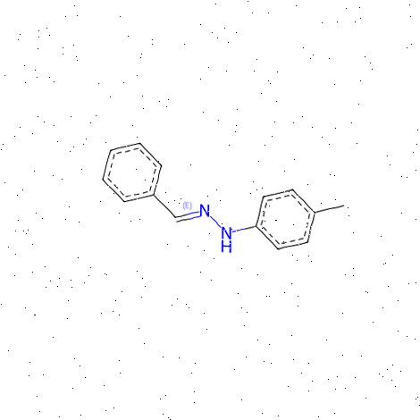 Cc1ccc(N/N=C/c2ccccc2)cc1